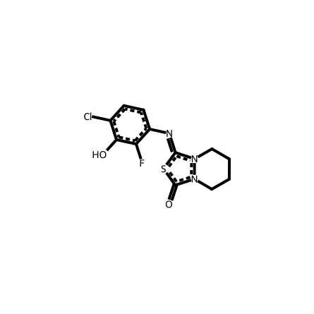 O=c1s/c(=N\c2ccc(Cl)c(O)c2F)n2n1CCCC2